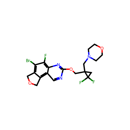 Fc1c(Br)c2c(c3cnc(OCC4(CN5CCOCC5)CC4(F)F)nc13)COC2